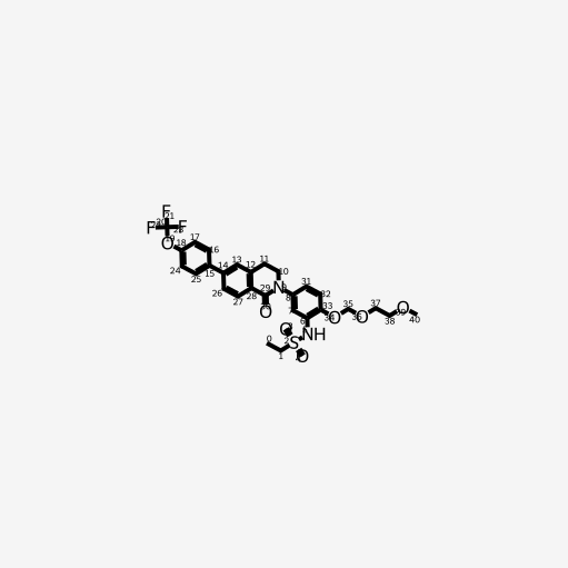 CCS(=O)(=O)Nc1cc(N2CCc3cc(-c4ccc(OC(F)(F)F)cc4)ccc3C2=O)ccc1OCOCCOC